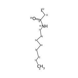 CCCCCCCCNC(=O)CI